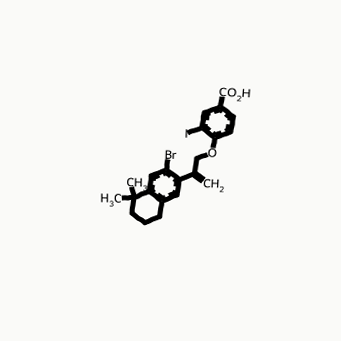 C=C(COc1ccc(C(=O)O)cc1I)c1cc2c(cc1Br)C(C)(C)CCC2